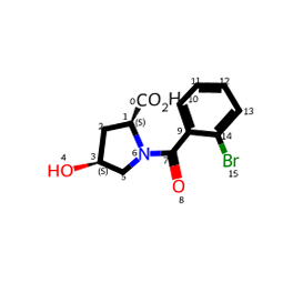 O=C(O)[C@@H]1C[C@H](O)CN1C(=O)c1ccccc1Br